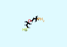 CC(C)(P)CCOC(C)(C)CCS